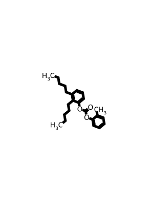 CCCCCc1cccc(OC(=O)Oc2ccccc2C)c1CCCCC